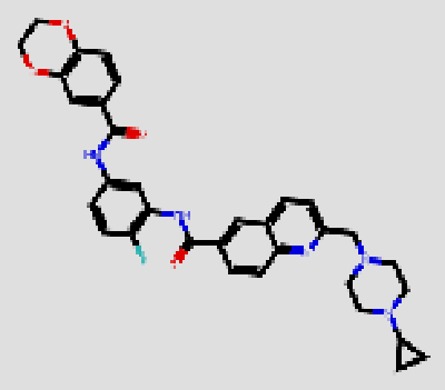 O=C(Nc1ccc(F)c(NC(=O)c2ccc3nc(CN4CCN(C5CC5)CC4)ccc3c2)c1)c1ccc2c(c1)OCCO2